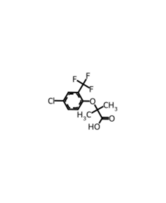 CC(C)(Oc1ccc(Cl)cc1C(F)(F)F)C(=O)O